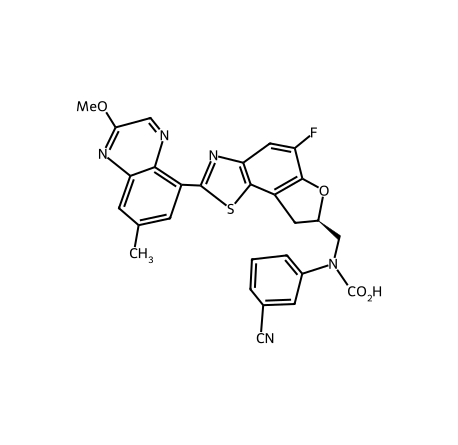 COc1cnc2c(-c3nc4cc(F)c5c(c4s3)C[C@H](CN(C(=O)O)c3cccc(C#N)c3)O5)cc(C)cc2n1